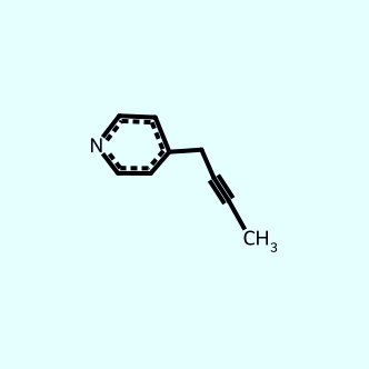 CC#CCc1ccncc1